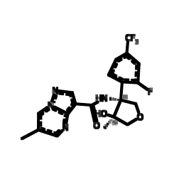 Cc1cnc2c(C(=O)N[C@]3(c4ccc(C(F)(F)F)cc4F)COC[C@@]3(C)O)cnn2c1